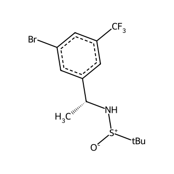 C[C@@H](N[S+]([O-])C(C)(C)C)c1cc(Br)cc(C(F)(F)F)c1